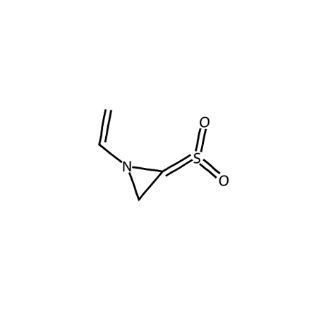 C=CN1CC1=S(=O)=O